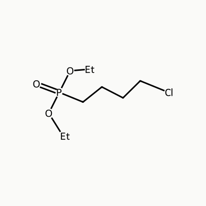 CCOP(=O)(CCCCCl)OCC